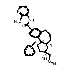 CCOC[C@@]1(O)CC[C@@]2(Cc3ccccc3)c3ccc(C(=O)Nc4cccnc4C)cc3CCC[C@H]2C1